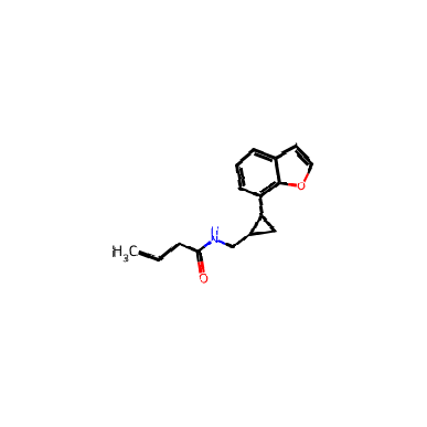 CCCC(=O)NCC1CC1c1cccc2ccoc12